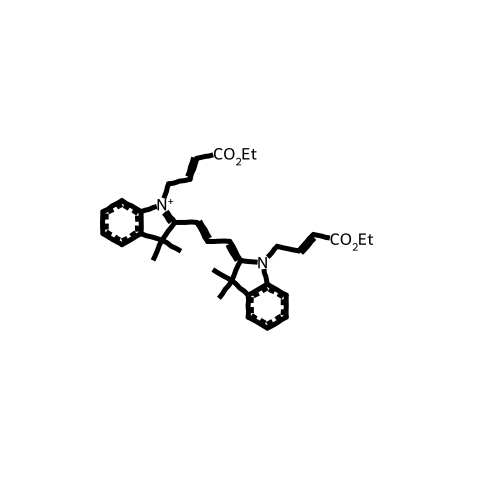 CCOC(=O)/C=C/CN1/C(=C/C=C/C2=[N+](C/C=C/C(=O)OCC)c3ccccc3C2(C)C)C(C)(C)c2ccccc21